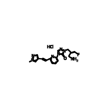 Cl.Cn1cc(C#Cc2cccc(-n3cnn(C/C(=C/F)CN)c3=O)n2)cn1